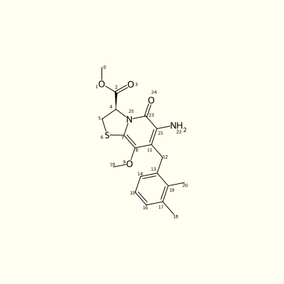 COC(=O)[C@@H]1CSc2c(OC)c(Cc3cccc(C)c3C)c(N)c(=O)n21